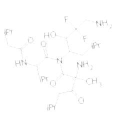 CC(C)CC(=O)NC(C(=O)N(C(=O)C(C)(N)C(=O)CC(C)C)C(CC(C)C)C(O)C(F)(F)CN)C(C)C